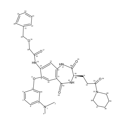 CN(C)c1cccc(Oc2cc3c(cc2NC(=O)COCc2ccccc2)NC(=O)[C@@H](CCC(=O)N2CCCCC2)NC3=O)c1